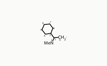 [CH2]C(NC)C1CCCCC1